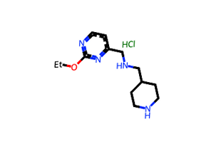 CCOc1nccc(CNCC2CCNCC2)n1.Cl